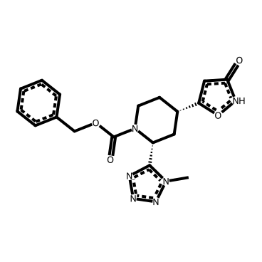 Cn1nnnc1[C@H]1C[C@@H](c2cc(=O)[nH]o2)CCN1C(=O)OCc1ccccc1